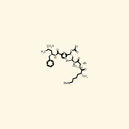 CCC(=O)O[C@H](C[C@H](C(C)C)N(C)C(=O)[C@@H](NC(=O)[C@H](C)CCCCNC)C(C)C)c1nc(C(=O)N[C@@H](Cc2ccccc2)C[C@H](C)C(=O)O)cs1